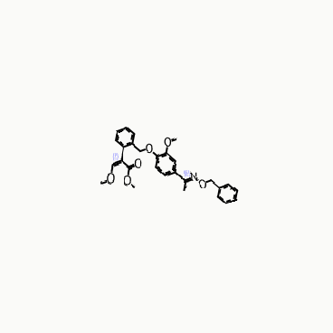 CO/C=C(\C(=O)OC)c1ccccc1COc1ccc(/C(C)=N/OCc2ccccc2)cc1OC